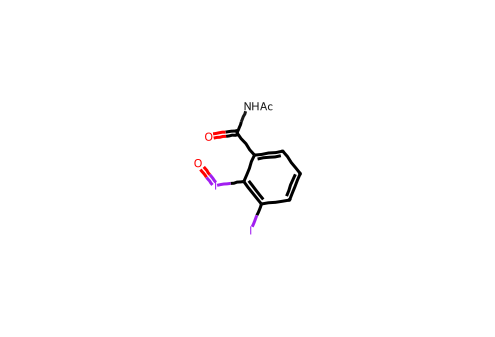 CC(=O)NC(=O)c1cccc(I)c1I=O